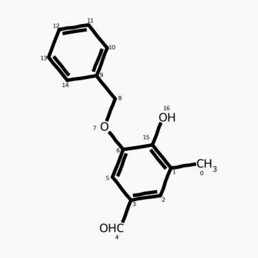 Cc1cc(C=O)cc(OCc2ccccc2)c1O